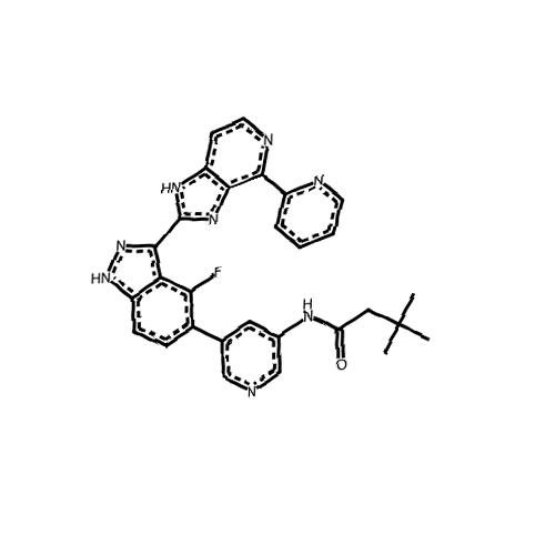 CC(C)(C)CC(=O)Nc1cncc(-c2ccc3[nH]nc(-c4nc5c(-c6ccccn6)nccc5[nH]4)c3c2F)c1